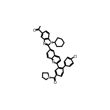 CC(=O)c1ccc2c(c1)nc(-c1ccc3nc(-c4cc(C(=O)N5CCCC5)ccc4-c4ccc(Cl)cc4)ccc3c1)n2C1CCCCC1